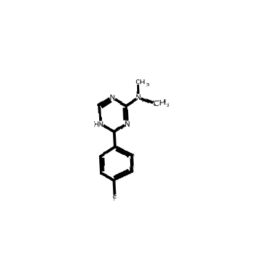 CN(C)C1=NC(c2ccc(F)cc2)NC=N1